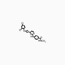 CNC(=O)c1ccc(Nc2nccc(N3CC(Oc4ccc(Cl)cc4Cl)C3)n2)cc1